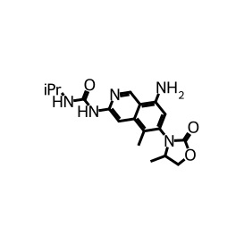 Cc1c(N2C(=O)OCC2C)cc(N)c2cnc(NC(=O)NC(C)C)cc12